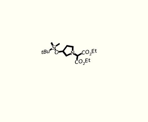 CCOC(=O)C(C(=O)OCC)N1CCC(O[Si](C)(C)C(C)(C)C)C1